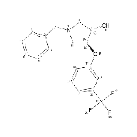 O[C@H]1CN(Cc2ccccc2)C[C@@H]1Oc1cccc(C(F)(F)F)c1